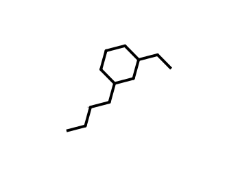 CC[CH]CC1CCCC(CC)C1